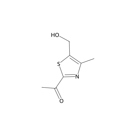 CC(=O)c1nc(C)c(CO)s1